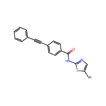 CC(C)c1cnc(NC(=O)c2ccc(C#Cc3ccccc3)cc2)s1